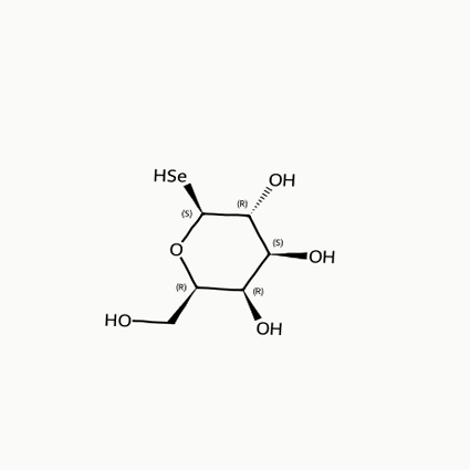 OC[C@H]1O[C@@H]([SeH])[C@H](O)[C@@H](O)[C@H]1O